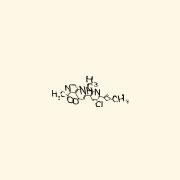 CC(=O)c1nccc2[nH]c(-c3cc(Cl)c(C45CC(C)(C4)C5)nc3C)cc(=O)c12